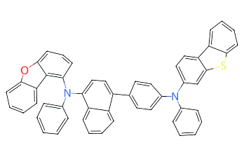 c1ccc(N(c2ccc(-c3ccc(N(c4ccccc4)c4cccc5oc6ccccc6c45)c4ccccc34)cc2)c2ccc3c(c2)sc2ccccc23)cc1